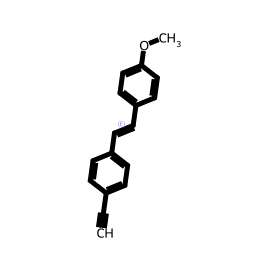 C#Cc1ccc(/C=C/c2ccc(OC)cc2)cc1